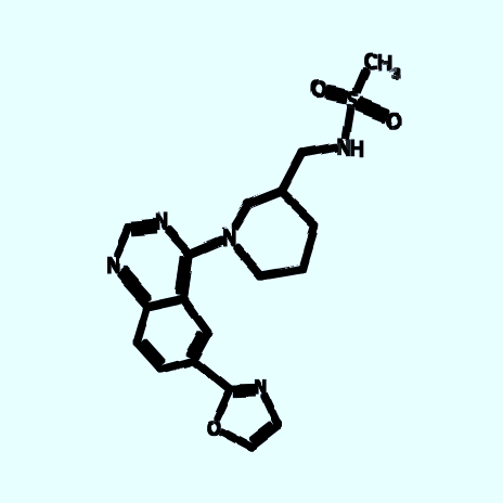 CS(=O)(=O)NCC1CCCN(c2ncnc3ccc(-c4ncco4)cc23)C1